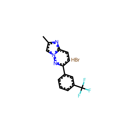 Br.Cc1cn2nc(-c3cccc(C(F)(F)F)c3)ccc2n1